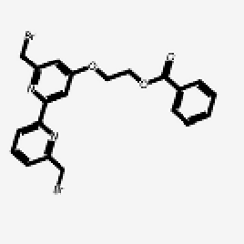 O=C(OCCOc1cc(CBr)nc(-c2cccc(CBr)n2)c1)c1ccccc1